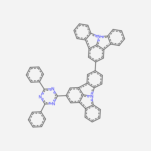 c1ccc(-c2nc(-c3ccccc3)nc(-c3cc4c5ccccc5n5c6ccc(-c7cc8c9ccccc9n9c%10ccccc%10c(c7)c89)cc6c(c3)c45)n2)cc1